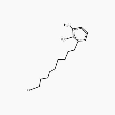 Cc1cccc(CCCCCCCCCC(C)C)c1C